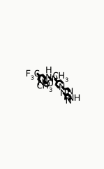 CN(C(=O)Nc1cc(C(F)(F)F)cn(C)c1=O)C1CCN(c2cnc3[nH]ncc3n2)CC1